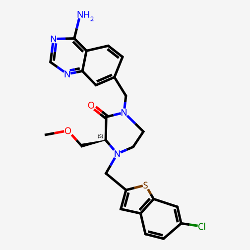 COC[C@H]1C(=O)N(Cc2ccc3c(N)ncnc3c2)CCN1Cc1cc2ccc(Cl)cc2s1